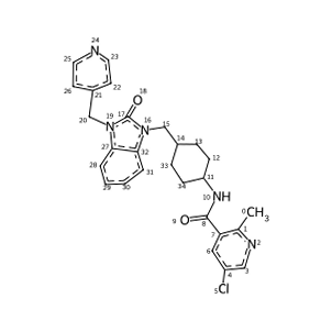 Cc1ncc(Cl)cc1C(=O)NC1CCC(Cn2c(=O)n(Cc3ccncc3)c3ccccc32)CC1